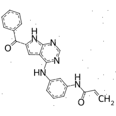 C=CC(=O)Nc1cccc(Nc2ncnc3[nH]c(C(=O)c4ccccc4)cc23)c1